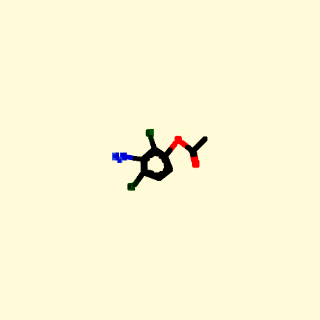 CC(=O)Oc1ccc(Cl)c(N)c1Cl